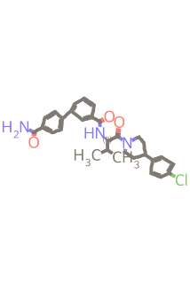 CC(C)[C@@H](NC(=O)c1cccc(-c2ccc(C(N)=O)cc2)c1)C(=O)N1CCC(c2ccc(Cl)cc2)CC1